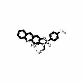 CCN(CC)P(=O)(Oc1ccc2nc3ccccc3cc2c1)c1ccc(C)cc1